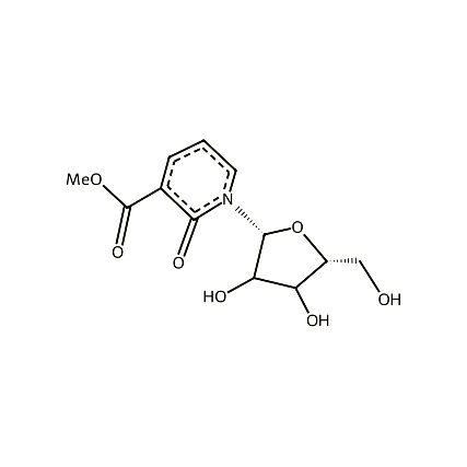 COC(=O)c1cccn([C@@H]2O[C@H](CO)C(O)C2O)c1=O